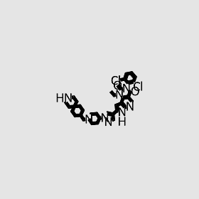 CCn1c(=O)n(-c2c(Cl)cccc2Cl)c(=O)c2cnc3[nH]c(-c4cnn(C5CCN(CC6CCC7(CCNCC7)CC6)CC5)c4)cc3c21